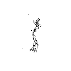 N#Cc1c(F)ccc(F)c1Oc1ccc2ncn(-c3ccc(N4CCC5(CC4)CC(OC4CCN(c6ccc7c(c6)CN(C6CCC(=O)NC6=O)C7=O)CC4)C5)cc3)c(=O)c2c1